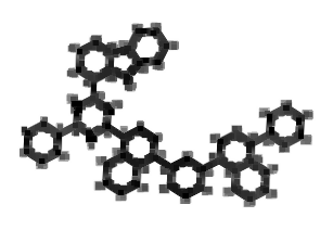 c1ccc(-c2nc(-c3ccc(-c4cccc(-c5ccc(-c6ccccc6)c6ccccc56)c4)c4ccccc34)nc(-c3cccc4c3sc3ccccc34)n2)cc1